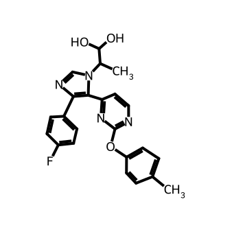 Cc1ccc(Oc2nccc(-c3c(-c4ccc(F)cc4)ncn3C(C)C(O)O)n2)cc1